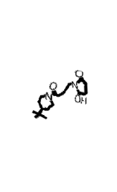 CC(C)(C)C1CCN(C(=O)CCN2C(=O)C=CC2O)CC1